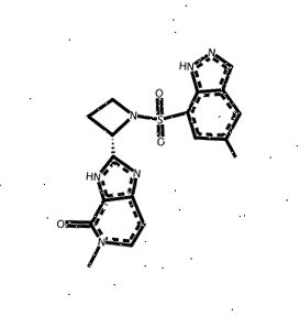 Cc1cc(S(=O)(=O)N2CC[C@H]2c2nc3ccn(C)c(=O)c3[nH]2)c2[nH]ncc2c1